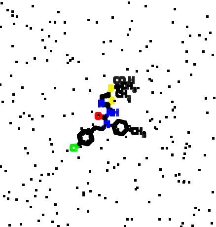 CC(C)(Sc1cnc(NC(=O)N(CCc2ccc(Cl)cc2)[C@H]2CC[C@H](C)CC2)s1)C(=O)O